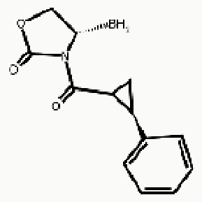 B[C@H]1COC(=O)N1C(=O)C1C[C@H]1c1ccccc1